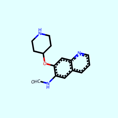 O=CNc1cc2cccnc2cc1OC1CCNCC1